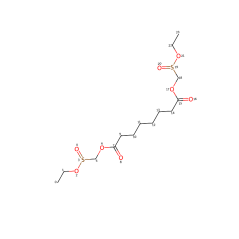 CCOS(=O)COC(=O)CCCCCCC(=O)OCS(=O)OCC